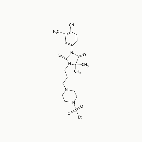 CCS(=O)(=O)N1CCN(CCCN2C(=S)N(c3ccc(C#N)c(C(F)(F)F)c3)C(=O)C2(C)C)CC1